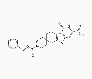 O=C(O)c1nc2sc3c(c2c(=O)[nH]1)CCC1(CCN(C(=O)OCc2ccccc2)CC1)C3